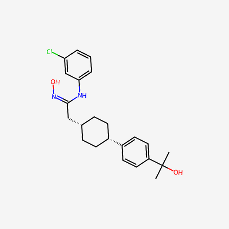 CC(C)(O)c1ccc([C@H]2CC[C@@H](C/C(=N/O)Nc3cccc(Cl)c3)CC2)cc1